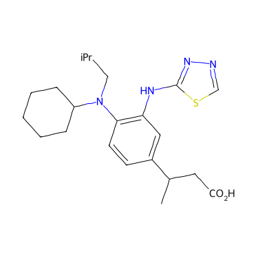 CC(C)CN(c1ccc(C(C)CC(=O)O)cc1Nc1nncs1)C1CCCCC1